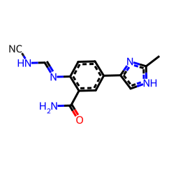 Cc1nc(-c2ccc(/N=C/NC#N)c(C(N)=O)c2)c[nH]1